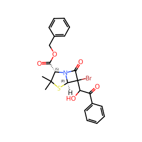 CC1(C)S[C@H]2N(C(=O)C2(Br)C(O)C(=O)c2ccccc2)[C@H]1C(=O)OCc1ccccc1